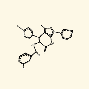 Cc1cccc(C(=O)N[C@@H]2C(=O)Nc3c(c(C)nn3-c3ccccc3)[C@@H]2c2ccc(F)cc2)c1